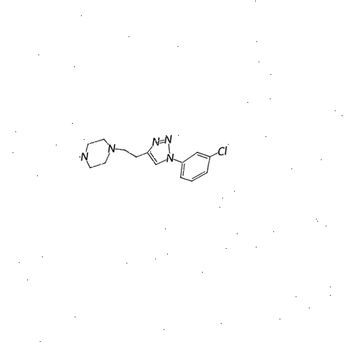 Clc1cccc(-n2cc(CCN3CC[N]CC3)nn2)c1